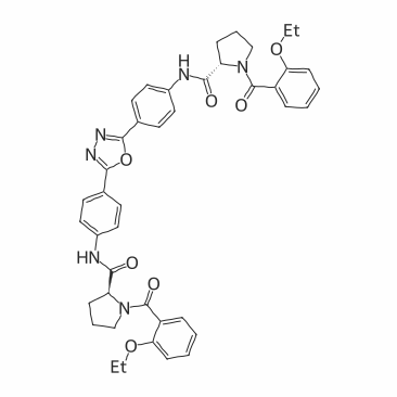 CCOc1ccccc1C(=O)N1CCC[C@H]1C(=O)Nc1ccc(-c2nnc(-c3ccc(NC(=O)[C@@H]4CCCN4C(=O)c4ccccc4OCC)cc3)o2)cc1